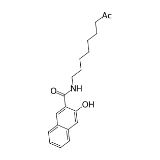 CC(=O)CCCCCCCNC(=O)c1cc2ccccc2cc1O